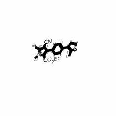 CCOC(=O)c1c(-c2ccc(-c3ccsc3C)cc2)c(C#N)c(I)n1C